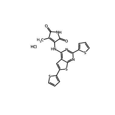 CC1=C(Nc2nc(-c3cccs3)nc3sc(-c4cccs4)cc23)C(=O)NC1=O.Cl